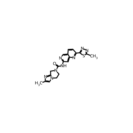 Cc1cn2c(n1)CN(C(=O)Nc1cc3nc(-c4nnc(C)s4)ccc3cn1)CC2